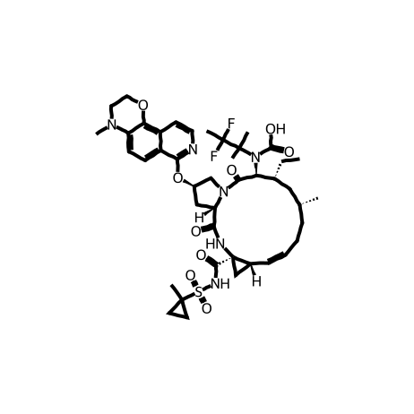 CC[C@@H]1C[C@H](C)CCC=C[C@@H]2C[C@@]2(C(=O)NS(=O)(=O)C2(C)CC2)NC(=O)[C@@H]2C[C@@H](Oc3nccc4c5c(ccc34)N(C)CCO5)CN2C(=O)[C@H]1N(C(=O)O)C(C)(C)C(C)(F)F